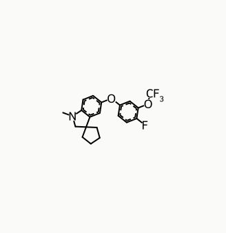 CN1CC2(CCCC2)c2cc(Oc3ccc(F)c(OC(F)(F)F)c3)ccc21